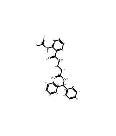 CC(=O)Nc1ncccc1C(=O)SCCC(=O)OC(c1ccccc1)c1ccccc1